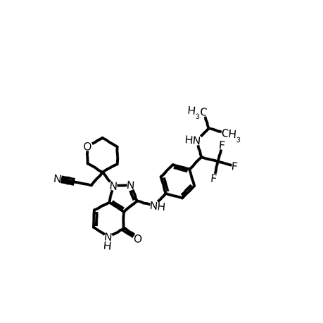 CC(C)NC(c1ccc(Nc2nn(C3(CC#N)CCCOC3)c3cc[nH]c(=O)c23)cc1)C(F)(F)F